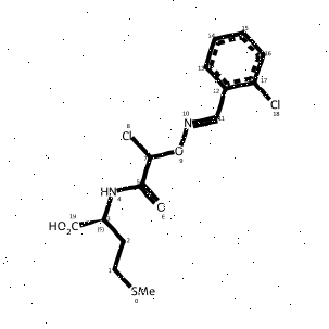 CSCC[C@H](NC(=O)C(Cl)ON=Cc1ccccc1Cl)C(=O)O